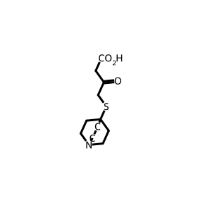 O=C(O)CC(=O)CSC12CCN(CC1)CC2